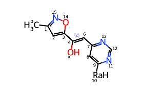 Cc1cc(/C(O)=C/c2c[c]([RaH])ncn2)on1